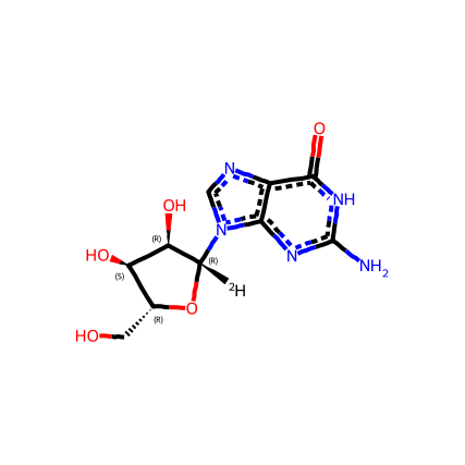 [2H][C@@]1(n2cnc3c(=O)[nH]c(N)nc32)O[C@H](CO)[C@@H](O)[C@H]1O